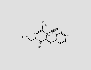 CCOC(=O)[C@H](Cc1ccccc1)N(C#N)C(C)=O